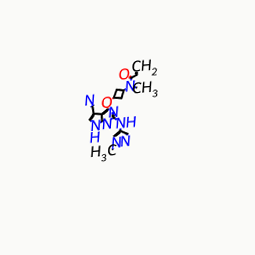 C=CC(=O)N(C)C1CC(Oc2nc(Nc3cnn(C)c3)nc3[nH]cc(C#N)c23)C1